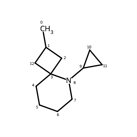 CC1CC2(CCCCN2C2CC2)C1